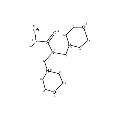 CCCN(C)C(=O)N(CN1CCOCC1)CN1CCOCC1